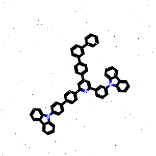 c1ccc(-c2cccc(-c3ccc(-c4cc(-c5ccc(-c6ccc(-n7c8ccccc8c8ccccc87)cc6)cc5)nc(-c5cccc(-n6c7ccccc7c7ccccc76)c5)c4)cc3)c2)cc1